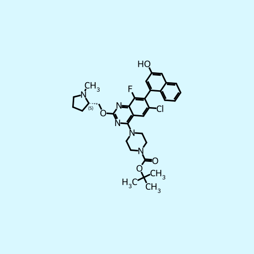 CN1CCC[C@H]1COc1nc(N2CCN(C(=O)OC(C)(C)C)CC2)c2cc(Cl)c(-c3cc(O)cc4ccccc34)c(F)c2n1